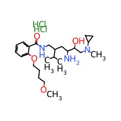 COCCCCOc1ccccc1C(=O)NCC(CC(N)C(O)CN(C)C1CC1)C(C)C.Cl.Cl